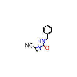 N#CC1CN1C(=O)NCc1ccccc1